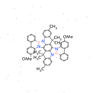 COc1ccc2c(c1)N1B(c3ccccc3-2)N2c3ccc(C)cc3C(C)(C)c3c4c5c(c1c32)C(C)(C)c1cc(C)ccc1N5B1c2ccccc2-c2ccc(OC)cc2N14